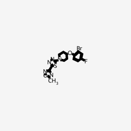 Cc1nc(-c2nnc(N3CCC(Oc4ccc(F)cc4Br)CC3)s2)no1